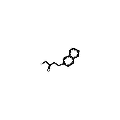 O=C(CF)CCc1ccc2ccccc2c1